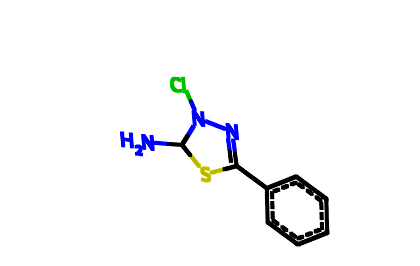 NC1SC(c2ccccc2)=NN1Cl